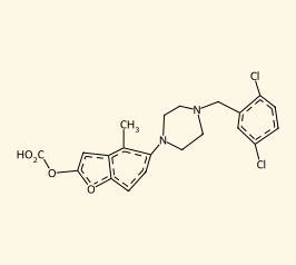 Cc1c(N2CCN(Cc3cc(Cl)ccc3Cl)CC2)ccc2oc(OC(=O)O)cc12